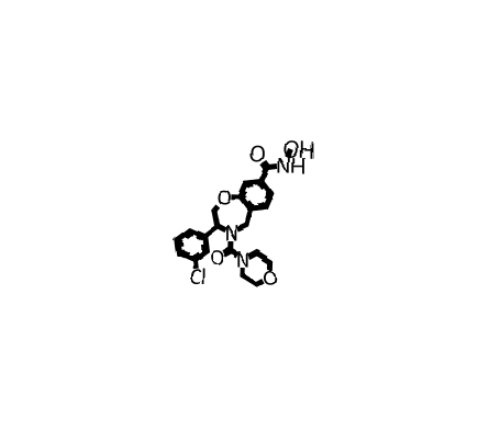 O=C(NO)c1ccc2c(c1)OCC(c1cccc(Cl)c1)N(C(=O)N1CCOCC1)C2